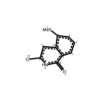 CSc1cccc2c(=O)[nH]c(Cl)cc12